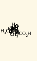 Cc1cc(C)c(C)c(S(=O)(=O)Nc2cc(N3CCCC(C(=O)O)C3)cc3ccccc23)c1C